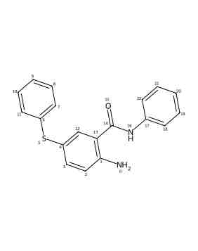 Nc1ccc(Sc2ccccc2)cc1C(=O)Nc1ccccc1